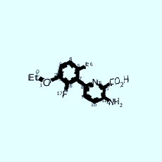 CCOc1ccc(F)c(-c2ccc(N)c(C(=O)O)n2)c1F